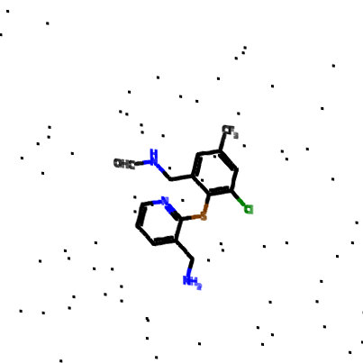 NCc1cccnc1Sc1c(Cl)cc(C(F)(F)F)cc1CNC=O